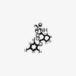 CS(=O)(=O)NC(=O)C1CCCCC1C(=O)Oc1c(I)cc(I)cc1I